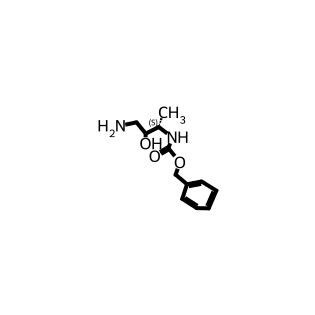 C[C@H](NC(=O)OCc1ccccc1)C(O)CN